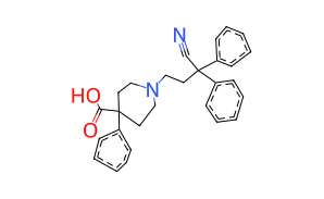 N#CC(CCN1CCC(C(=O)O)(c2ccccc2)CC1)(c1ccccc1)c1ccccc1